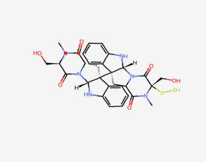 CN1C(=O)C2C[C@]3([C@]45C[C@@]67SS[C@@](CO)(C(=O)N6[C@H]4Nc4ccccc45)N(C)C7=O)c4ccccc4N[C@@H]3N2C(=O)[C@]1(CO)SS